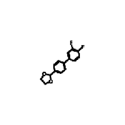 Fc1ccc(-c2ccc(C3OCCO3)cc2)cc1F